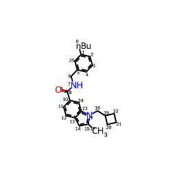 CCCCc1cccc(CNC(=O)c2ccc3cc(C)n(CC4CCC4)c3c2)c1